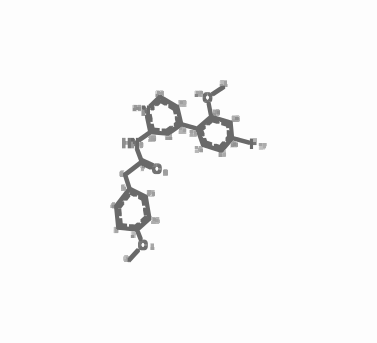 COc1ccc(CC(=O)Nc2cc(-c3ccc(F)cc3OC)ccn2)cc1